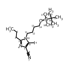 CCCc1nc(C#N)c(I)n1CCCCO[Si](C)(C)C(C)(C)C